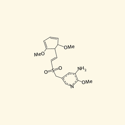 COC1=CC=CC(OC)C1/C=C/S(=O)(=O)Cc1cnc(OC)c(N)c1